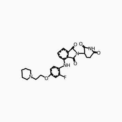 O=C1CCC(N2C(=O)c3cccc(Nc4ccc(OCCN5CCCCC5)cc4F)c3C2=O)C(=O)N1